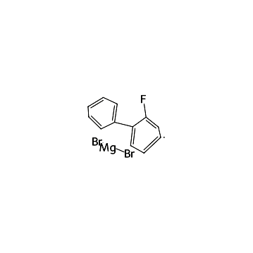 Fc1c[c]ccc1-c1ccccc1.[Br][Mg][Br]